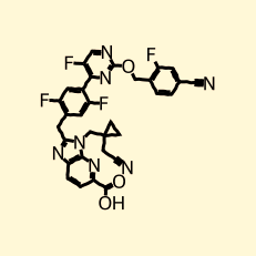 N#CCC1(Cn2c(Cc3cc(F)c(-c4nc(OCc5ccc(C#N)cc5F)ncc4F)cc3F)nc3ccc(C(=O)O)nc32)CC1